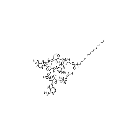 CCCCCCCCCCCCCCCCC(C)(C)C(=O)OCCSP(=O)(O)OC1C2OCCC[C@]2(COP(O)(=S)OC2C(O)[C@@H](COP(=O)(O)OC3C(OC)[C@@H](COP(=O)(O)OCCO)O[C@H]3n3cnc4c(N)ncnc43)O[C@H]2n2cnc3c(N)ncnc32)O[C@H]1n1cnc2c(N)ncnc21